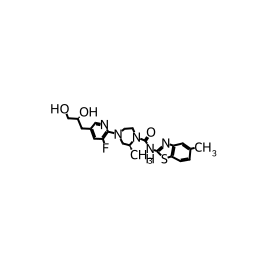 Cc1ccc2sc(NC(=O)N3CCN(c4ncc(C[C@@H](O)CO)cc4F)C[C@@H]3C)nc2c1